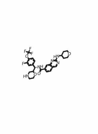 O=C(N[C@@H](c1ccc(OC(F)(F)F)c(F)c1)C1CNCCO1)c1ccc2cnc(NC3CCOCC3)nc2c1